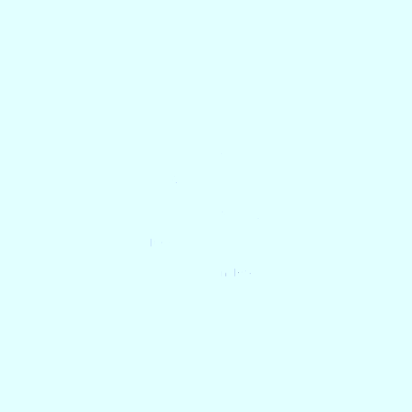 CCCCCCCC(C(=O)O)[S+]([O-])c1cccs1